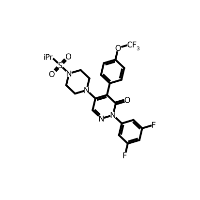 CC(C)S(=O)(=O)N1CCN(c2cnn(-c3cc(F)cc(F)c3)c(=O)c2-c2ccc(OC(F)(F)F)cc2)CC1